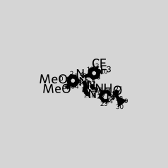 COc1cc2nc(-c3ccc(F)c(C(F)(F)F)c3)n(-c3ccnc(N[C@@H]4CCCN(C(=O)C5CC5)C4)n3)c2cc1OC